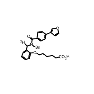 [2H]C(c1ccccc1OCCCCCC(=O)O)N(C(=O)c1ccc(-c2ccoc2)cc1)C(C)CC